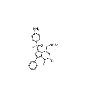 CC(=O)NCC1=CC(=O)C(=O)c2c(-c3ccccc3)cn(S(=O)(=O)c3ccc(N)cc3)c21